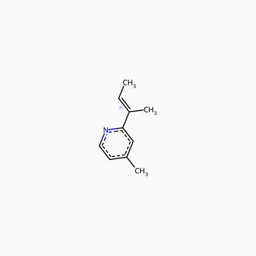 C/C=C(\C)c1cc(C)ccn1